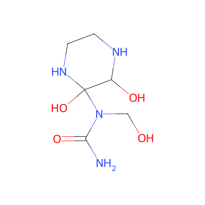 NC(=O)N(CO)C1(O)NCCNC1O